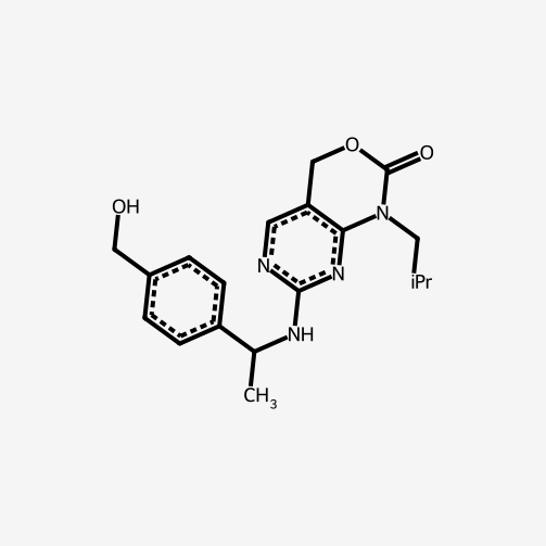 CC(C)CN1C(=O)OCc2cnc(NC(C)c3ccc(CO)cc3)nc21